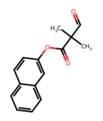 CC(C)(C=O)C(=O)Oc1ccc2ccccc2c1